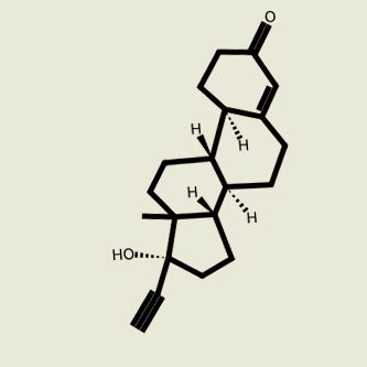 C#C[C@]1(O)CC[C@H]2[C@@H]3CCC4=CC(=O)CC[C@@H]4[C@H]3CCC21C